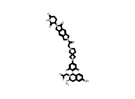 C[C@@H]1Cc2cc(O)ccc2[C@@H](c2c(F)cc(N3CC4(CCN(CC(=O)N5Cc6cc7c(cc6C5)C(=O)N(C5CCC(=O)NC5=O)C7)C4)C3)cc2F)N1CC(F)F